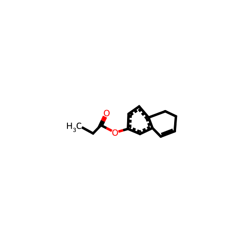 CCC(=O)Oc1ccc2c(c1)C=CCC2